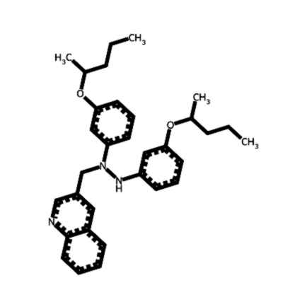 CCCC(C)Oc1cccc(NN(Cc2cnc3ccccc3c2)c2cccc(OC(C)CCC)c2)c1